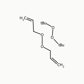 C=CCOOCC=C.CC(C)(C)OOC(C)(C)C